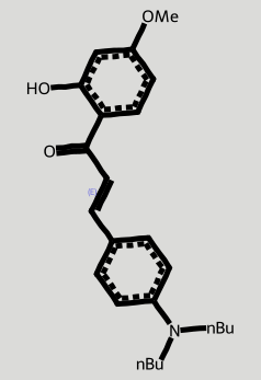 CCCCN(CCCC)c1ccc(/C=C/C(=O)c2ccc(OC)cc2O)cc1